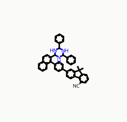 CC1(C)c2cc(-c3ccc(-c4c(C5NC(c6ccccc6)NC(c6ccccc6)N5)ccc5ccccc45)cc3)ccc2-c2c(C#N)cccc21